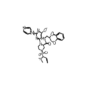 C=CC(N(C)C)S(=O)(=O)N1CCN(c2cc(Cl)nc(-n3ccnc3)n2)C(C(=O)NCC2COc3ccccc3O2)C1